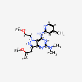 CCOCCn1nc(CC(CC)OCC)c2nc(N(C)C)nc(Nc3cc(C)ccn3)c21